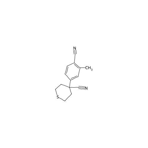 Cc1cc(C2(C#N)CCSCC2)ccc1C#N